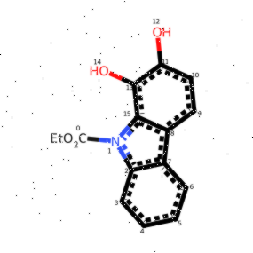 CCOC(=O)n1c2ccccc2c2ccc(O)c(O)c21